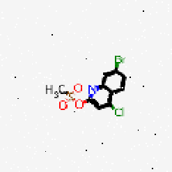 CS(=O)(=O)Oc1cc(Cl)c2ccc(Br)cc2n1